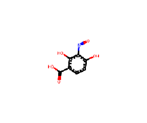 O=Nc1c(O)ccc(C(=O)O)c1O